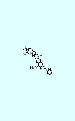 CC(C)N1CCc2cc(Nc3cc4cc(COc5ccccn5)c(F)c(N)c4cn3)nn2CC1=O